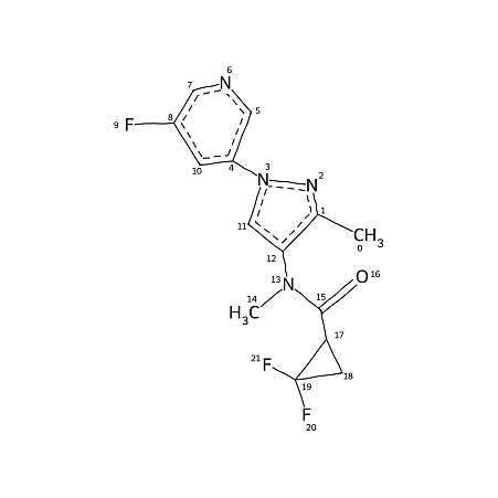 Cc1nn(-c2cncc(F)c2)cc1N(C)C(=O)C1CC1(F)F